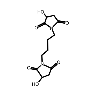 O=C1CC(O)C(=O)N1CCCCN1C(=O)CC(O)C1=O